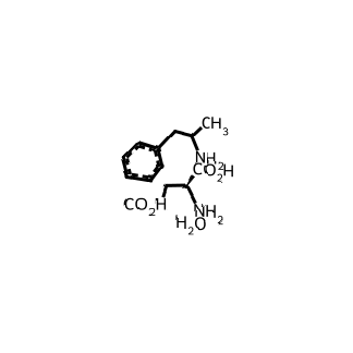 CC(N)Cc1ccccc1.N[C@@H](CC(=O)O)C(=O)O.O